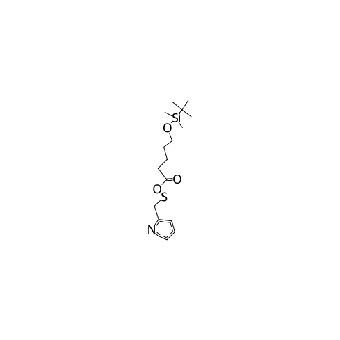 CC(C)(C)[Si](C)(C)OCCCCC(=O)OSCc1ccccn1